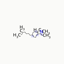 C/C=C(C1=C\C/C=C(/CCCCC(C)CC)C/C=C\1)\N(C)C